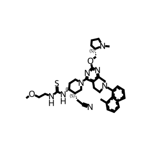 COCCNC(=S)N[C@@H]1CCN(c2nc(OC[C@@H]3CCCN3C)nc3c2CCN(c2cccc4cccc(C)c24)C3)C[C@@H]1CC#N